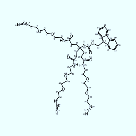 [N-]=[N+]=NCCOCCOCCNC(=O)CCC(CCC(=O)NCCOCCOCCN=[N+]=[N-])(CCC(=O)NCCOCCOCCN=[N+]=[N-])NC(=O)OCC1c2ccccc2-c2ccccc21